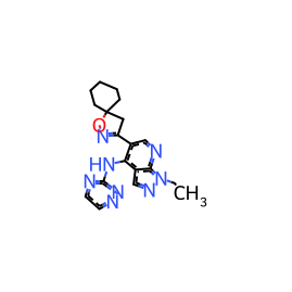 CCn1ncc2c(Nc3nccnn3)c(C3=NOC4(CCCCC4)C3)cnc21